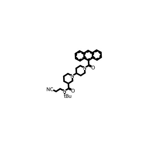 CC(C)(C)N(CCC#N)C(=O)C1CCCN(C2CCN(C(=O)c3c4ccccc4cc4ccccc34)CC2)C1